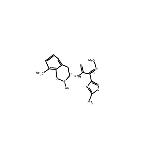 CO/N=C(\C(=O)N[C@H]1Cc2cccc(C(=O)O)c2OB1O)c1nsc(N)n1